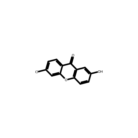 O=c1c2ccc(Cl)cc2oc2ccc(O)cc12